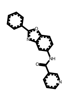 O=C(Nc1ccc2oc(-c3ccccc3)nc2c1)c1cccnc1